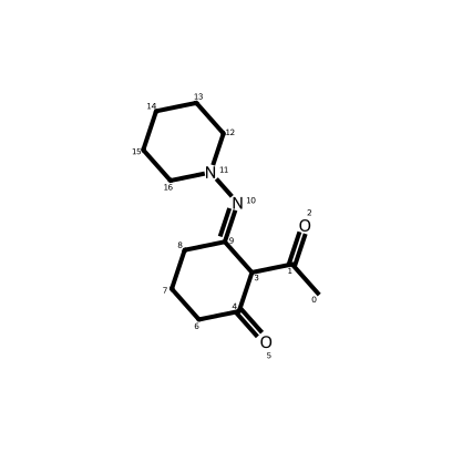 CC(=O)C1C(=O)CCCC1=NN1CCCCC1